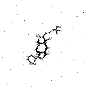 CC(C)(C)[Si](C)(C)OCCc1c(I)c2cc3cnn(C4CCCCO4)c3cc2c[n+]1[O-]